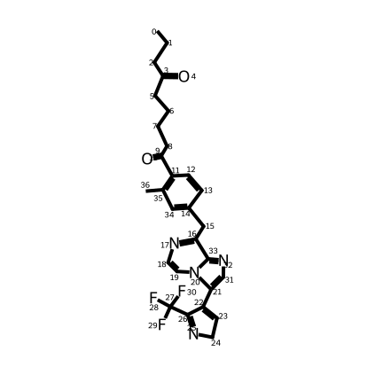 CCCC(=O)CCCCC(=O)c1ccc(Cc2nccn3c(C4=CCN=C4C(F)(F)F)cnc23)cc1C